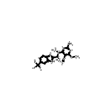 [C-]#[N+]c1c(SC)nc(N)nc1N(C)[C@@H](C)c1nc2ccc(C(F)(F)F)cc2[nH]1